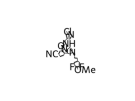 COc1c(F)cc(C=CCN2CCc3c(c4ccc(C#N)cc4n3C(=O)NCc3ccnc(Cl)c3)C2)cc1F